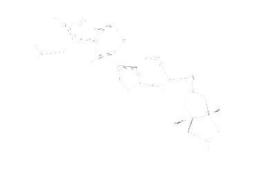 CC(=O)N1C[C@H]2CC(Nc3ncc4c(-c5cnc6nc(C)n(CC(F)F)c6n5)c[nH]c4n3)C[C@H]2C1